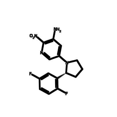 Nc1cc(N2CCC[C@@H]2c2cc(F)ccc2F)cnc1[N+](=O)[O-]